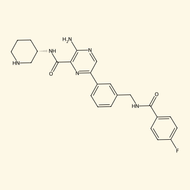 Nc1ncc(-c2cccc(CNC(=O)c3ccc(F)cc3)c2)nc1C(=O)N[C@H]1CCCNC1